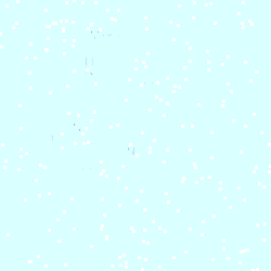 COCCOc1cc(C(=O)N(C(C)C)C2CNC2)nc2c(OC3CCCCCC3)cccc12